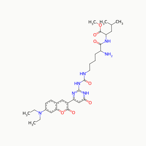 CCN(CC)c1ccc2cc(-c3cc(=O)[nH]c(NC(=O)NCCCCC(N)C(=O)NC(CC(C)C)C(=O)OC)n3)c(=O)oc2c1